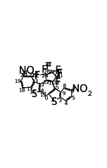 Cc1sc2ccc([N+](=O)[O-])cc2c1C1=C(c2c(C)sc3ccc([N+](=O)[O-])cc23)C(F)(F)C(F)(F)C1(F)F